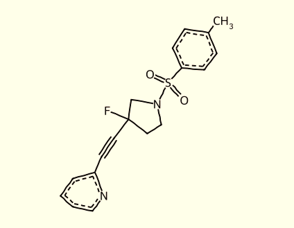 Cc1ccc(S(=O)(=O)N2CCC(F)(C#Cc3ccccn3)C2)cc1